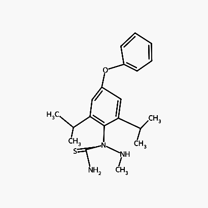 CNN(C(N)=S)c1c(C(C)C)cc(Oc2ccccc2)cc1C(C)C